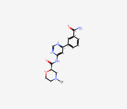 N#CN1CCO[C@@H](C(=O)Nc2cc(-c3cccc(C(N)=O)c3)ncn2)C1